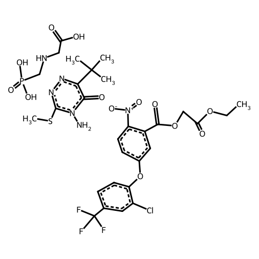 CCOC(=O)COC(=O)c1cc(Oc2ccc(C(F)(F)F)cc2Cl)ccc1[N+](=O)[O-].CSc1nnc(C(C)(C)C)c(=O)n1N.O=C(O)CNCP(=O)(O)O